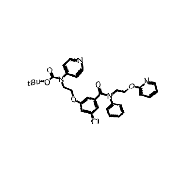 CC(C)(C)OC(=O)N(CCOc1cc(Cl)cc(C(=O)N(CCOc2ccccn2)c2ccccc2)c1)c1ccncc1